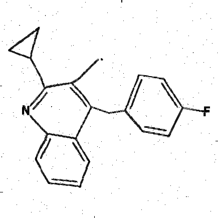 [CH2]c1c(C2CC2)nc2ccccc2c1-c1ccc(F)cc1